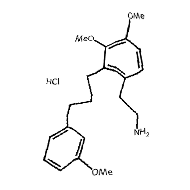 COc1cccc(CCCc2c(CCN)ccc(OC)c2OC)c1.Cl